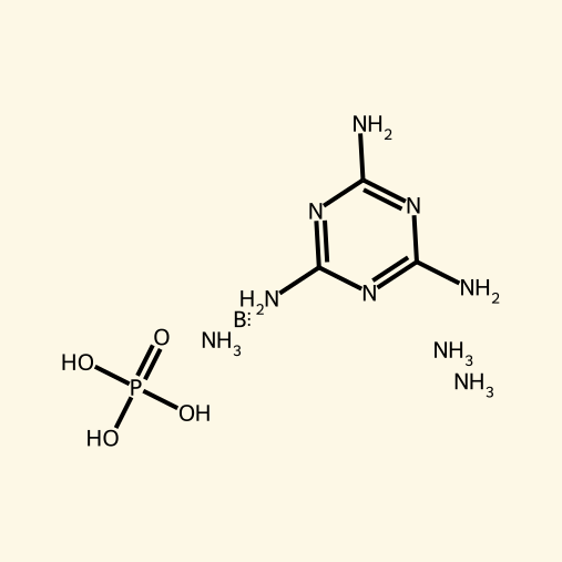 N.N.N.Nc1nc(N)nc(N)n1.O=P(O)(O)O.[B]